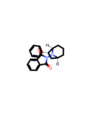 O=C1c2ccccc2C(=O)N1N1[C@H]2CCC[C@@H]1[C@@H](c1ccccc1)C2